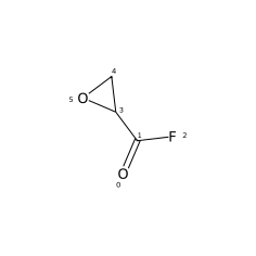 O=C(F)C1CO1